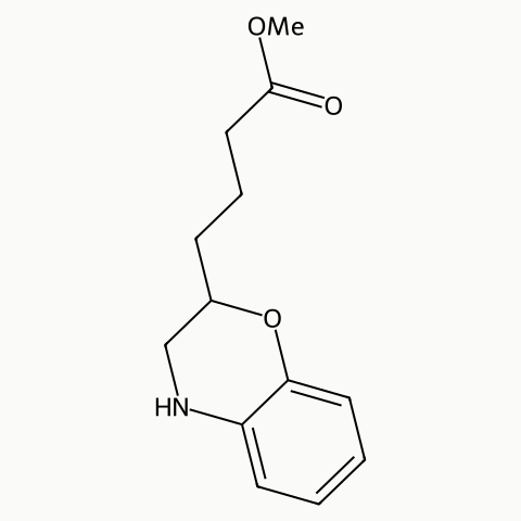 COC(=O)CCCC1CNc2ccccc2O1